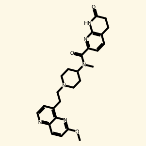 COc1ccc2nccc(CCN3CCC(N(C)C(=O)c4ccc5c(n4)NC(=O)CC5)CC3)c2n1